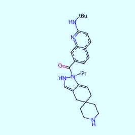 CC(C)[N+]1(C(=O)c2ccc3ccc(NC(C)(C)C)nc3c2)NC=C2CC3(CC=C21)CCNCC3